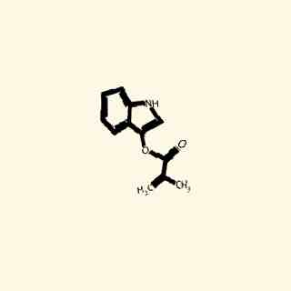 C=C(C)C(=O)Oc1c[nH]c2ccccc12